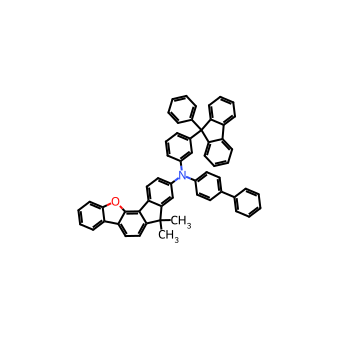 CC1(C)c2cc(N(c3ccc(-c4ccccc4)cc3)c3cccc(C4(c5ccccc5)c5ccccc5-c5ccccc54)c3)ccc2-c2c1ccc1c2oc2ccccc21